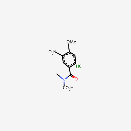 COc1ccc(C(=O)N(C)C(=O)O)cc1[N+](=O)[O-].Cl